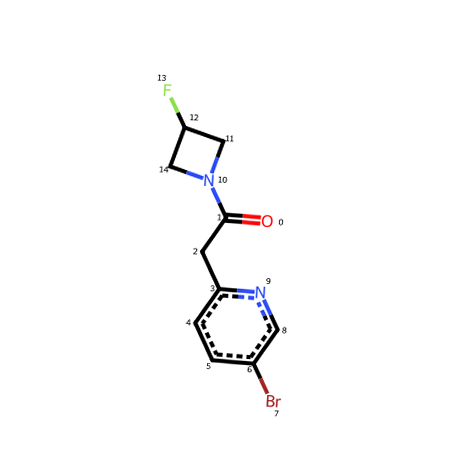 O=C(Cc1ccc(Br)cn1)N1CC(F)C1